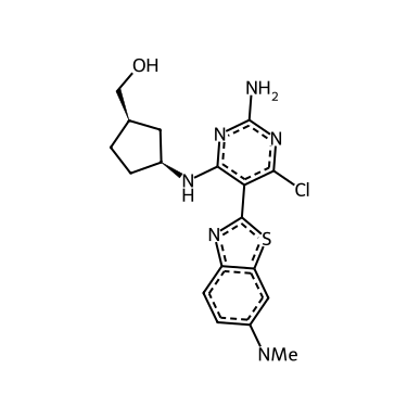 CNc1ccc2nc(-c3c(Cl)nc(N)nc3N[C@H]3CC[C@@H](CO)C3)sc2c1